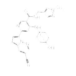 Cn1cc(CNC(=O)c2cnc(-c3ccc4cc(C#N)cnn34)cc2NC23CCC(O)(CC2)CC3)cn1